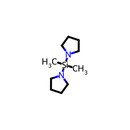 C[Si](C)(N1CCCC1)N1CCCC1